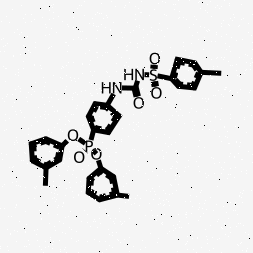 Cc1ccc(S(=O)(=O)NC(=O)Nc2ccc(P(=O)(Oc3cccc(C)c3)Oc3cccc(C)c3)cc2)cc1